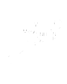 COC(=O)[C@H](Cc1c[nH]c2ccccc12)NS(=O)(=O)c1ccc(C#Cc2ccc(C)cc2)cc1